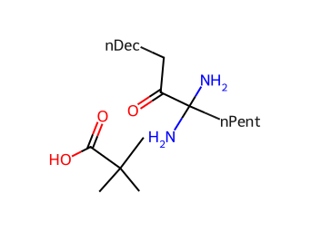 CC(C)(C)C(=O)O.CCCCCCCCCCCC(=O)C(N)(N)CCCCC